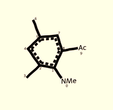 CNc1c(C)cc(C)cc1C(C)=O